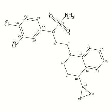 NS(=O)(=O)C(CCC1CCC(C2CC2)c2ccccc21)c1ccc(Cl)c(Cl)c1